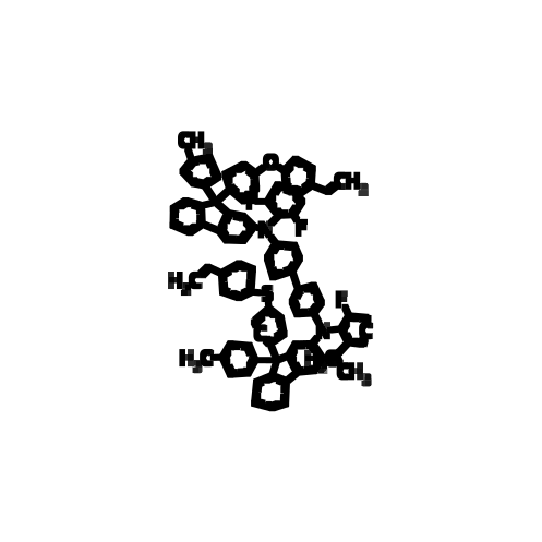 C=Cc1ccc(Oc2ccc(C3(c4ccc(C)cc4)c4ccccc4-c4ccc(N(c5ccc(-c6ccc(N(c7ccc8c(c7)C(c7ccc(C)cc7)(c7ccc(Sc9ccc(C=C)cc9)cc7)c7ccccc7-8)c7c(F)cccc7C(=C)C)cc6)cc5)c5c(F)cccc5F)cc43)cc2)cc1